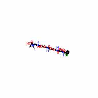 CCN[C@@H](CCCCNC(=O)COCCOCCNC(=O)COCCOCCNC(=O)CC[C@H](NC(=O)Cc1ccccc1C(F)(F)F)C(=O)O)C(=O)O